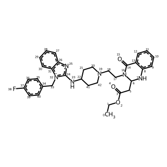 CCOC(=O)CC1Nc2ccccc2C(=O)N1CCN1CCC(Nc2nc3ccccc3n2Cc2ccc(F)cc2)CC1